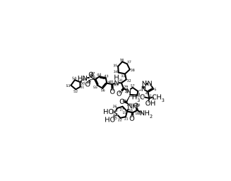 CC(C)(O)c1cnnn1[C@@H]1C[C@@H](C(=O)NC2(C(=O)C(N)=O)CCS(O)(O)CC2)N(C(=O)C(CC2CCCCC2)NC(=O)c2ccc(S(=O)(=O)NC3CCCC3)cc2)C1